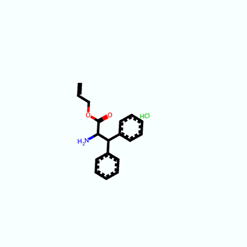 C=CCOC(=O)C(N)C(c1ccccc1)c1ccccc1.Cl